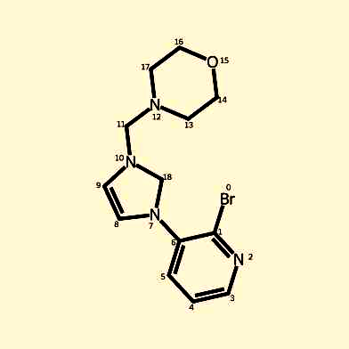 Brc1ncccc1N1C=CN(CN2CCOCC2)C1